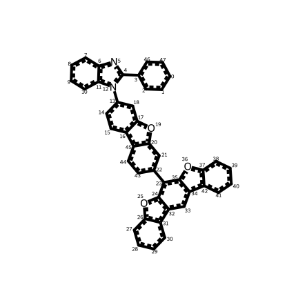 c1ccc(-c2nc3ccccc3n2-c2ccc3c(c2)oc2cc(-c4c5oc6ccccc6c5cc5c4oc4ccccc45)ccc23)cc1